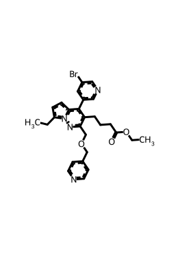 CCOC(=O)CCCc1c(COCc2ccncc2)nn2c(CC)ccc2c1-c1cncc(Br)c1